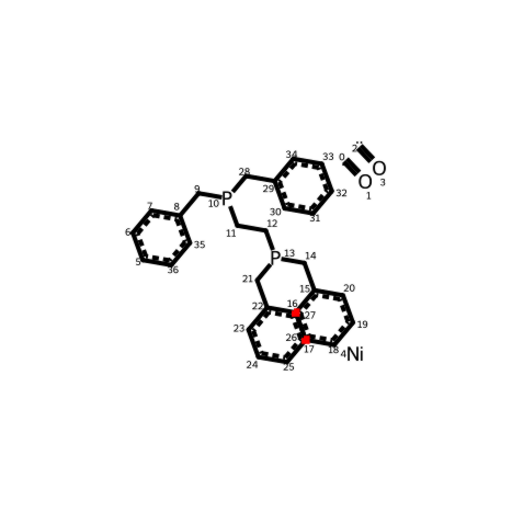 [C]=O.[C]=O.[Ni].c1ccc(CP(CCP(Cc2ccccc2)Cc2ccccc2)Cc2ccccc2)cc1